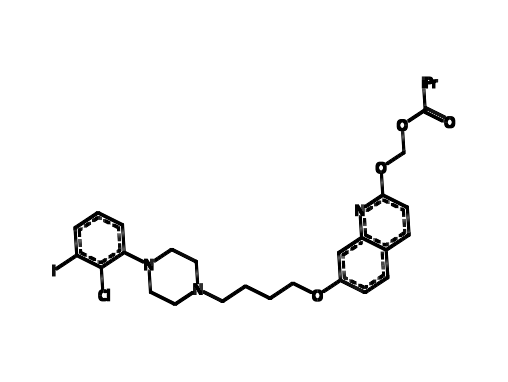 CC(C)C(=O)OCOc1ccc2ccc(OCCCCN3CCN(c4cccc(I)c4Cl)CC3)cc2n1